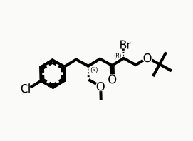 COC[C@@H](CC(=O)[C@H](Br)COC(C)(C)C)Cc1ccc(Cl)cc1